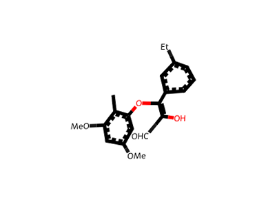 CCc1cccc(/C(Oc2cc(OC)cc(OC)c2C)=C(\O)C=O)c1